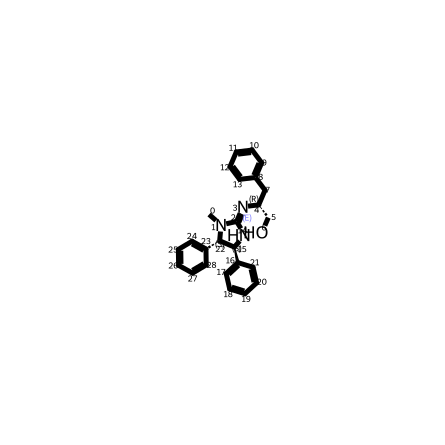 CN1/C(=N/[C@@H](CO)Cc2ccccc2)N[C@@H](c2ccccc2)[C@@H]1c1ccccc1